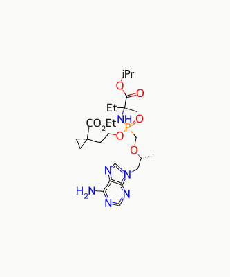 CCOC(=O)C1(CCOP(=O)(CO[C@H](C)Cn2cnc3c(N)ncnc32)NC(C)(CC)C(=O)OC(C)C)CC1